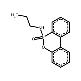 CCCNP1(=O)Oc2ccccc2-c2ccccc21